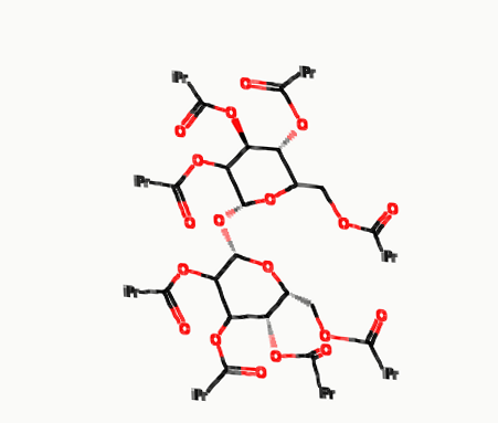 CC(C)C(=O)OCC1O[C@H](O[C@@H]2O[C@H](COC(=O)C(C)C)[C@H](OC(=O)C(C)C)C(OC(=O)C(C)C)C2OC(=O)C(C)C)C(OC(=O)C(C)C)[C@@H](OC(=O)C(C)C)[C@@H]1OC(=O)C(C)C